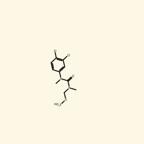 CN(COS(=O)(=O)O)C(=O)N(C)c1ccc(Cl)c(Cl)c1